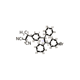 CC(=C(C#N)C#N)c1ccc(/C(=C(\c2ccccc2)c2ccc(Br)cc2)c2ccccc2)cc1